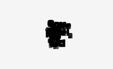 COC(=O)c1cnn(-c2cccc(Cl)n2)c1S(N)(=O)=O